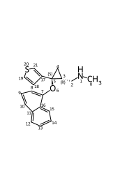 CNC[C@H]1C[C@@]1(Oc1cccc2ccccc12)c1ccsc1